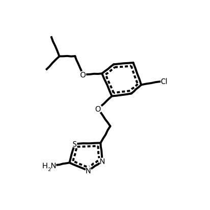 CC(C)COc1ccc(Cl)cc1OCc1nnc(N)s1